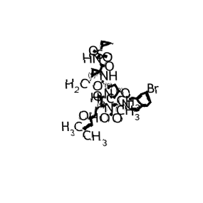 C=C[C@@H]1C[C@]1(NC(=O)[C@@H]1C[C@@H](Oc2nccc3ccc(Br)cc23)CN1C(=O)[C@H](CCC(=O)C=C(C)C)N(C(=O)O)C(C)(C)C)C(=O)NS(=O)(=O)C1CC1